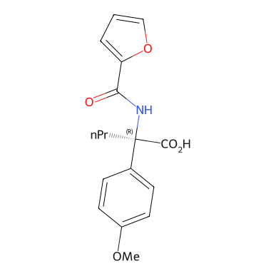 CCC[C@](NC(=O)c1ccco1)(C(=O)O)c1ccc(OC)cc1